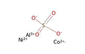 O=S(=O)([O-])[O-].[Al+3].[Co+2].[Ni+2]